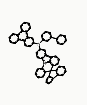 c1ccc(-c2cccc(N(c3ccc4c5ccccc5c5ccccc5c4c3)c3ccc4c(c3)c3cccc5c3n4-c3ccccc3C53c4ccccc4-c4ccccc43)c2)cc1